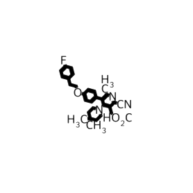 Cc1nc(C#N)c(CC(=O)O)c(N2CCC(C)(C)CC2)c1-c1ccc(OCCc2ccc(F)cc2)cc1